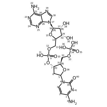 Nc1ccn(C2C[C@H](OP(=O)(O)OCC3O[C@@H](n4cnc5c(N)ncnc54)[C@H](O)[C@@H]3O)[C@@H](COP(=O)(O)O)O2)c(=O)n1